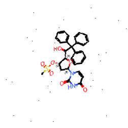 CS(=O)(=O)O[C@H]1C[C@H](n2ccc(=O)[nH]c2=O)O[C@@H]1C(O)C(c1ccccc1)(c1ccccc1)c1ccccc1